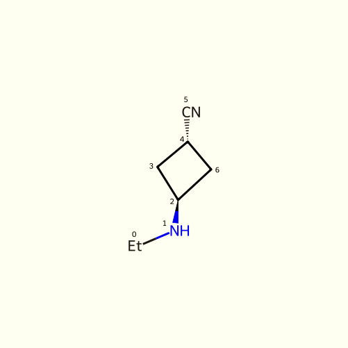 CCN[C@H]1C[C@H](C#N)C1